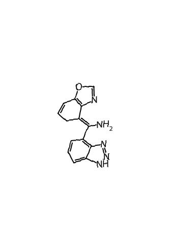 NC(=C1CC=Cc2ocnc21)c1cccc2[nH]nnc12